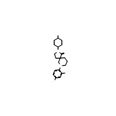 CC(=O)Nc1ccc(N2CCCC3(CCN(C4CCC(O)CC4)C3=O)C2)c(C#N)c1